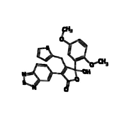 COc1ccc(OC)c(C2(O)OC(=O)C(c3ccc4nsnc4c3)=C2Cc2cccs2)c1